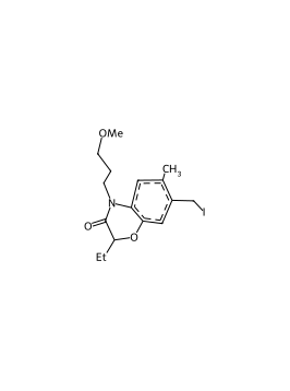 CCC1Oc2cc(CI)c(C)cc2N(CCCOC)C1=O